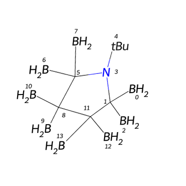 BC1(B)N(C(C)(C)C)C(B)(B)C(B)(B)C1(B)B